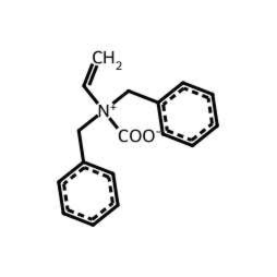 C=C[N+](Cc1ccccc1)(Cc1ccccc1)C(=O)[O-]